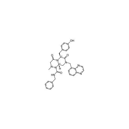 CN1CC(=O)N2[C@@H](Cc3ccc(O)cc3)C(=O)N(Cc3cccc4nccnc34)C[C@@H]2N1C(=O)NCc1ccccc1